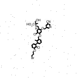 Cc1c(COc2cc(OCc3cncc(C#N)c3)c(CN[C@](C)(CO)C(=O)O)cc2Cl)cccc1-c1cccc(OCCCBr)c1Cl